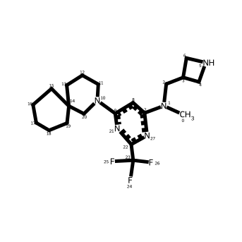 CN(CC1CNC1)c1cc(N2CCCC3(CCCCC3)C2)nc(C(F)(F)F)n1